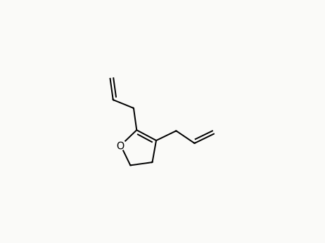 C=CCC1=C(CC=C)OCC1